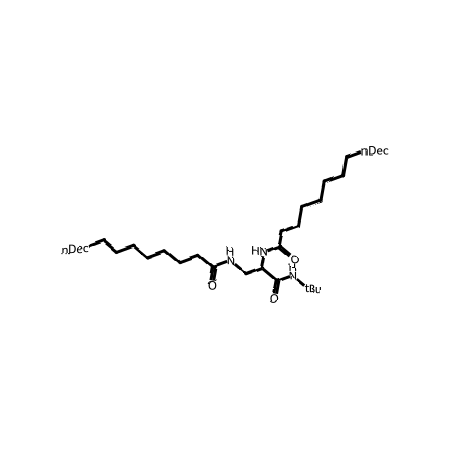 CCCCCCCCCCCCCCCCCC(=O)NCC(NC(=O)CCCCCCCCCCCCCCCCC)C(=O)NC(C)(C)C